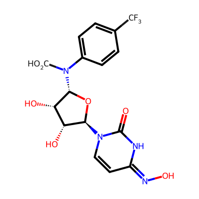 O=C(O)N(c1ccc(C(F)(F)F)cc1)[C@@H]1O[C@@H](n2cc/c(=N/O)[nH]c2=O)[C@H](O)[C@@H]1O